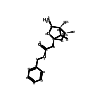 B[C@@H]1O[C@@]2(CC(=O)OCc3ccccc3)C[C@@H](C)[C@H]1C2C